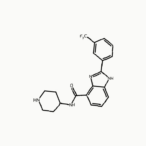 O=C(NC1CCNCC1)c1cccc2[nH]c(-c3cccc(C(F)(F)F)c3)nc12